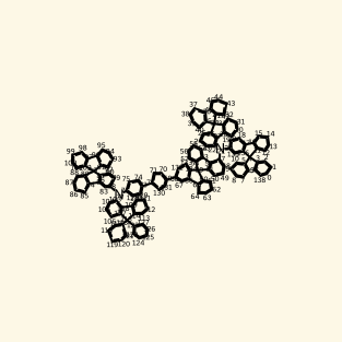 c1ccc(C2(c3ccccc3)c3ccccc3-c3ccc(N(c4cccc5c4-c4ccccc4C5(c4ccccc4)c4ccccc4)c4cccc5c4-c4ccccc4C54c5ccccc5-c5cc(-c6ccc(-c7ccc(N(c8ccc9c(c8)-c8ccccc8C98c9ccccc9-c9ccccc98)c8cccc9c8-c8ccccc8C9(c8ccccc8)c8ccccc8)cc7)cc6)ccc54)cc32)cc1